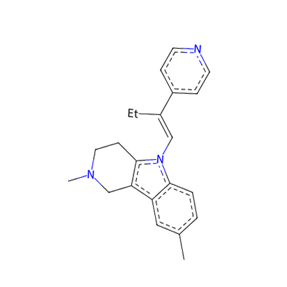 CC/C(=C\n1c2c(c3cc(C)ccc31)CN(C)CC2)c1ccncc1